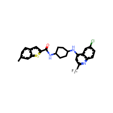 Cc1ccc2cc(C(=O)NC3CCC(Nc4cc(C(F)(F)F)nc5ccc(Cl)cc45)CC3)sc2c1